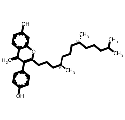 C=C1C(c2ccc(O)cc2)=C(CCC[C@H](C)CCC[C@H](C)CCCC(C)C)Oc2cc(O)ccc21